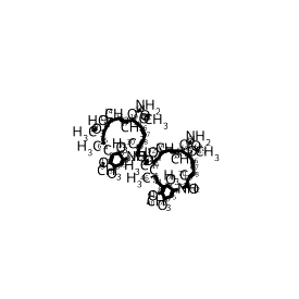 COC1=C2C[C@@H](C)C[C@H](OC)[C@H](O)[C@@H](C)/C=C(\C)[C@H](OC(N)=O)[C@@H](OC)/C=C\C=C(/C)C(=O)NC(=CC1=O)C2=O.COC1=C2C[C@@H](C)C[C@H](OC)[C@H](O)[C@@H](C)/C=C(\C)[C@H](OC(N)=O)[C@@H](OC)/C=C\C=C(/C)C(=O)NC(=CC1=O)C2=O